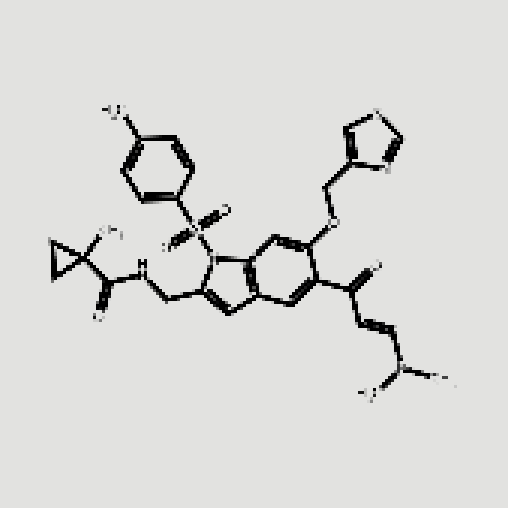 Cc1ccc(S(=O)(=O)n2c(CNC(=O)C3(C)CC3)cc3cc(C(=O)C=CN(C)C)c(OCc4cscn4)cc32)cc1